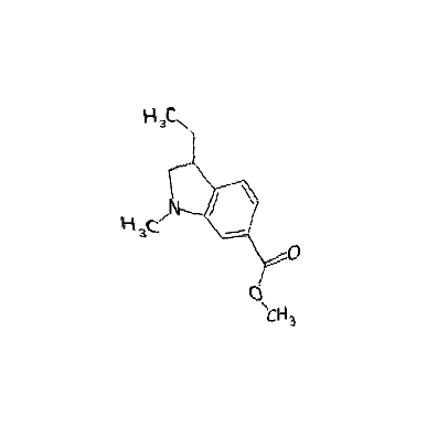 CCC1CN(C)c2cc(C(=O)OC)ccc21